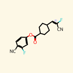 N#C/C(F)=C\C1CCC(C(=O)Oc2ccc(C#N)c(F)c2)CC1